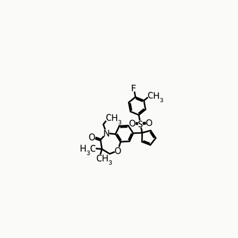 CCN1C(=O)C(C)(C)COc2cc(C3(S(=O)(=O)c4ccc(F)c(C)c4)C=CC=C3)ccc21